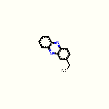 N#CCc1ccc2nc3ccccc3nc2c1